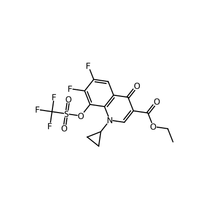 CCOC(=O)c1cn(C2CC2)c2c(OS(=O)(=O)C(F)(F)F)c(F)c(F)cc2c1=O